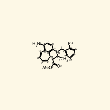 COC(=O)CC(C)N(Cc1ccccc1F)c1ccc(N)c2c1CC=CC=C2